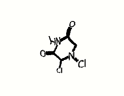 O=C1CN(Cl)C(Cl)C(=O)N1